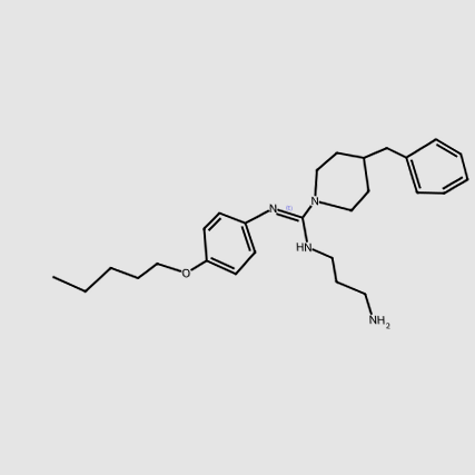 CCCCCOc1ccc(/N=C(\NCCCN)N2CCC(Cc3ccccc3)CC2)cc1